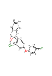 Clc1ccc(Oc2ccc(C3(Cc4ccccc4)CO3)c(Cl)c2)cc1